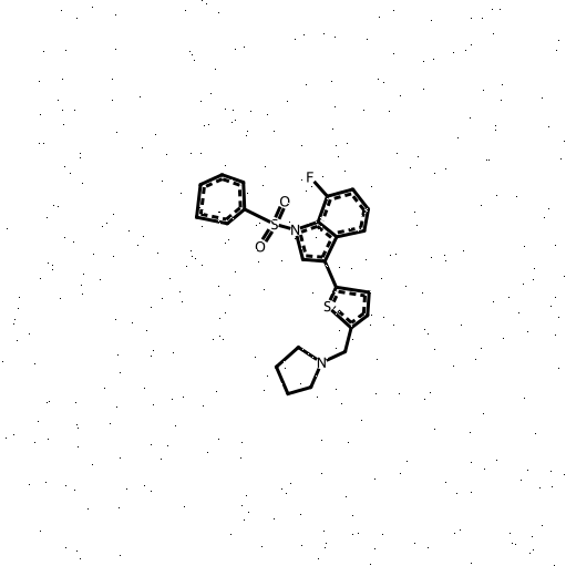 O=S(=O)(c1ccccc1)n1cc(-c2ccc(CN3CCCC3)s2)c2cccc(F)c21